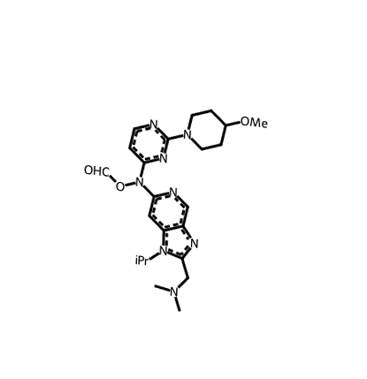 COC1CCN(c2nccc(N(OC=O)c3cc4c(cn3)nc(CN(C)C)n4C(C)C)n2)CC1